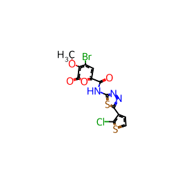 COc1c(Br)cc(C(=O)Nc2nnc(-c3ccsc3Cl)s2)oc1=O